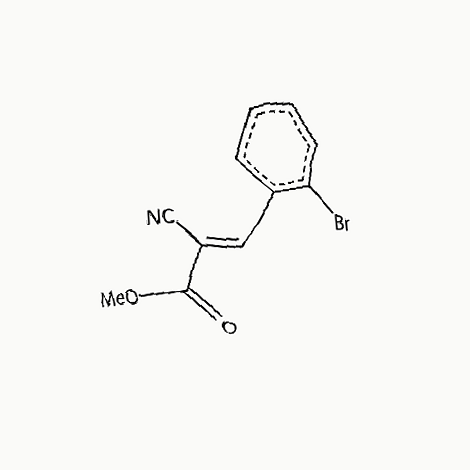 COC(=O)/C(C#N)=C/c1ccccc1Br